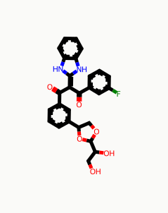 O=C(C(C(=O)c1cccc(C2COC(C(O)CO)O2)c1)=C1Nc2ccccc2N1)c1cccc(F)c1